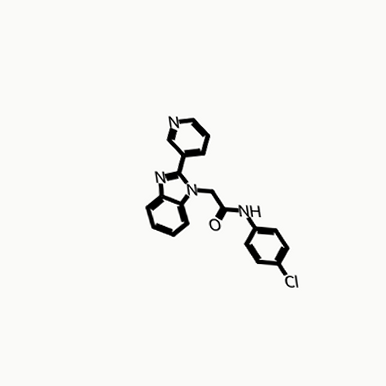 O=C(Cn1c(-c2cccnc2)nc2ccccc21)Nc1ccc(Cl)cc1